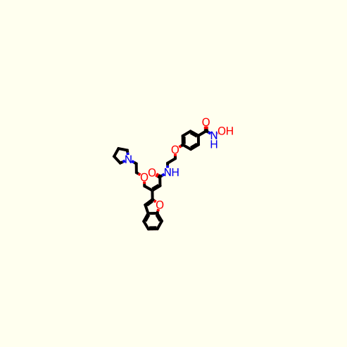 O=C(C=C(COCCN1CCCC1)c1cc2ccccc2o1)NCCOc1ccc(C(=O)NO)cc1